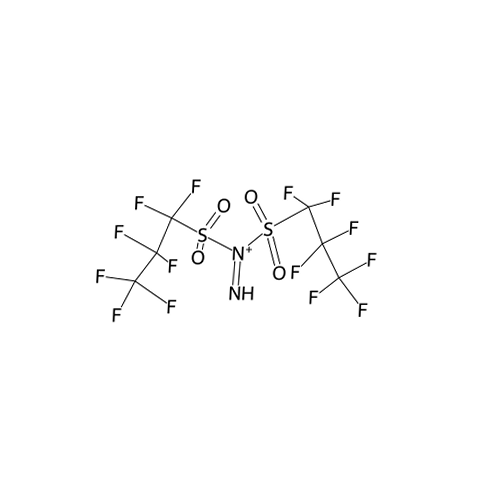 N=[N+](S(=O)(=O)C(F)(F)C(F)(F)C(F)(F)F)S(=O)(=O)C(F)(F)C(F)(F)C(F)(F)F